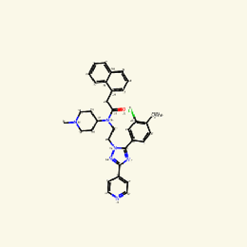 COc1ccc(-c2nc(-c3ccncc3)nn2CCN(C(=O)Cc2cccc3ccccc23)C2CCN(C)CC2)cc1Cl